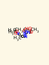 COc1nc(N2CCOC(C(C)O)C2)cc(-n2ncc3cc(C)c(C4CCN(C(=O)OC(C)(C)C)CC4)cc32)n1